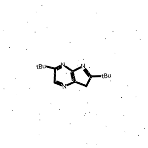 CC(C)(C)C1=Nc2nc(C(C)(C)C)cnc2C1